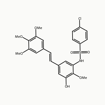 COc1cc(C=Cc2cc(O)c(OC)c(NS(=O)(=O)c3ccc(Cl)cc3)c2)cc(OC)c1OC